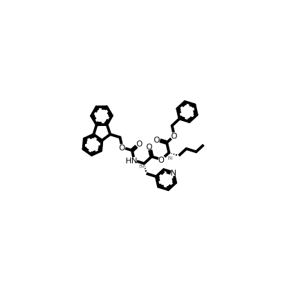 CCCC[C@H](OC(=O)[C@H](Cc1cccnc1)NC(=O)OCC1c2ccccc2-c2ccccc21)C(=O)OCc1ccccc1